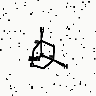 CNN1[C@@H]2COC[C@H]1C2